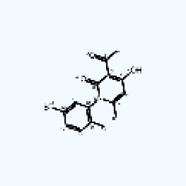 CC(=O)c1c(O)cc(C)n(-c2cc(Br)ccc2C)c1=O